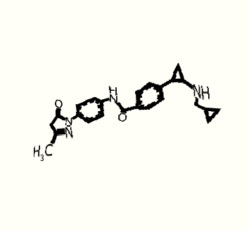 CC1=NN(c2ccc(NC(=O)c3ccc(C4CC4NCC4CC4)cc3)cc2)C(=O)C1